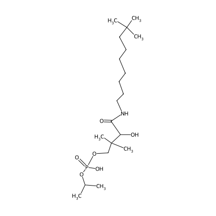 CC(C)OP(=O)(O)OCC(C)(C)C(O)C(=O)NCCCCCCCC(C)(C)C